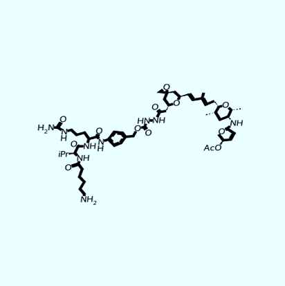 CC(=O)O[C@@H](C)/C=C\C(=O)N[C@@H]1C[C@H](C)[C@H](C/C=C(C)/C=C/[C@@H]2C[C@]3(CO3)C[C@@H](CC(=O)NNC(=O)OCc3ccc(NC(=O)C(CCCNC(N)=O)NC(=O)[C@@H](NC(=O)CCCCCN)C(C)C)cc3)O2)O[C@@H]1C